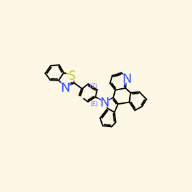 C=C(/C=C\C(=C/C)n1c2ccccc2c2c3ccccc3c3ncccc3c21)c1nc2ccccc2s1